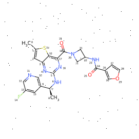 Cc1cc2nc(N[C@@H](C)c3cncc(F)c3)nc(C(=O)N3CC(NC(=O)c4ccoc4)C3)c2s1